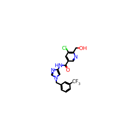 O=C(Nc1cn(Cc2cccc(C(F)(F)F)c2)cn1)c1cnc(CO)c(Cl)c1